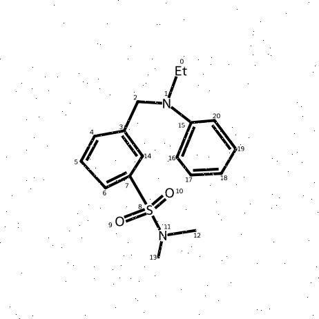 CCN(Cc1cccc(S(=O)(=O)N(C)C)c1)c1ccccc1